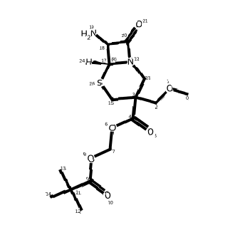 COCC1(C(=O)OCOC(=O)C(C)(C)C)CS[C@@H]2C(N)C(=O)N2C1